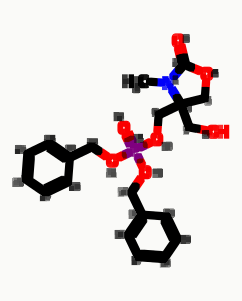 CN1C(=O)OCC1(CO)COP(=O)(OCc1ccccc1)OCc1ccccc1